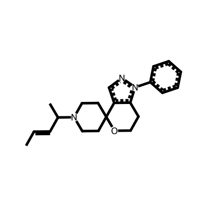 CC=CC(C)N1CCC2(CC1)OCCc1c2cnn1-c1ccccc1